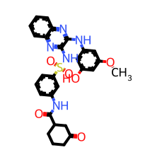 COc1cc(O)cc(Nc2nc3ccccc3nc2NS(=O)(=O)c2cccc(NC(=O)C3CCCC(=O)C3)c2)c1